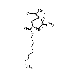 CCCCCCCCOC(=O)C(CCC(N)=O)NC(C)=O